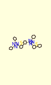 c1ccc(-c2nc(-c3ccc4sc5c(-c6nc(-c7ccccc7)nc(-c7ccccc7)n6)cccc5c4c3)nc(-c3cccc4c3sc3ccccc34)n2)cc1